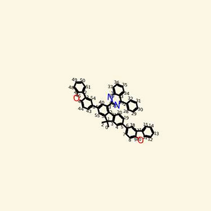 CC1(C)c2cc(-c3ccc4oc5ccccc5c4c3)ccc2-c2c(-c3nc(-c4ccccc4)c4ccccc4n3)cc(-c3ccc4oc5ccccc5c4c3)cc21